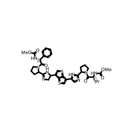 COC(=O)N[C@H](C(=O)N1CCCC1c1ncc(-c2csc3c(C4CN=C(C5CCCN5C(=O)[C@H](NC(=O)OC)c5ccccc5)N4)csc23)[nH]1)C(C)C